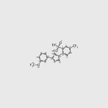 CCS(=O)(=O)c1cc(C(F)(F)F)cnc1-c1ncc(-c2cccc(OC(F)(F)F)c2)n1C